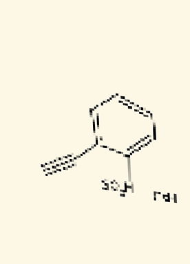 C#Cc1ccccc1S(=O)(=O)O.[CsH]